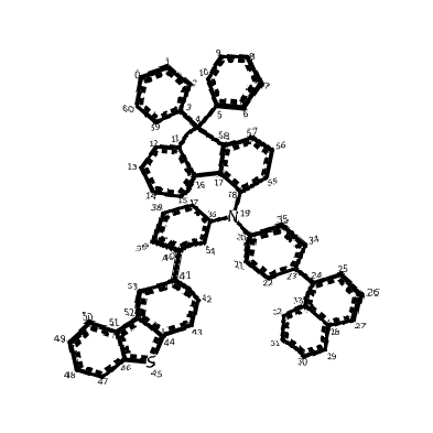 c1ccc(C2(c3ccccc3)c3ccccc3-c3c(N(c4ccc(-c5cccc6ccccc56)cc4)c4cccc(-c5ccc6sc7ccccc7c6c5)c4)cccc32)cc1